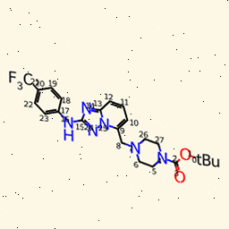 CC(C)(C)OC(=O)N1CCN(Cc2cccc3nc(Nc4ccc(C(F)(F)F)cc4)nn23)CC1